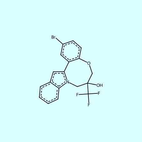 OC1(C(F)(F)F)COc2ccc(Br)cc2-c2cc3ccccc3n2C1